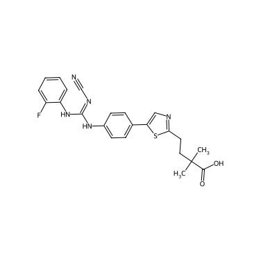 CC(C)(CCc1ncc(-c2ccc(NC(=NC#N)Nc3ccccc3F)cc2)s1)C(=O)O